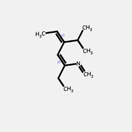 C=N/C(=C\C(=C/C)C(C)C)CC